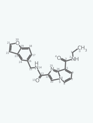 CCNC(=O)c1cccn2cc(C(=O)NCc3ccc4occc4c3)nc12